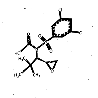 CC(C)(C)C([C@H]1CO1)N(C(=O)O)S(=O)(=O)c1cc(Cl)cc(Cl)c1